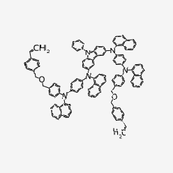 C=Cc1ccc(COCc2ccc(N(c3ccc(N(c4ccc5c(c4)c4cc(N(c6ccc(N(c7ccc(COCc8ccc(C=C)cc8)cc7)c7cccc8ccccc78)cc6)c6cccc7ccccc67)ccc4n5-c4ccccc4)c4cccc5ccccc45)cc3)c3cccc4ccccc34)cc2)cc1